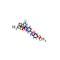 COc1ccc2nc(-c3ccc(N(CCF)C(=O)OC(C)(C)C)nc3)oc2c1